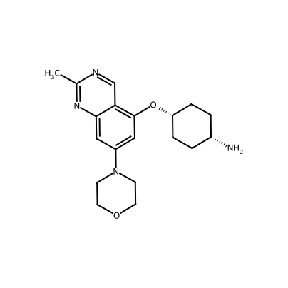 Cc1ncc2c(O[C@H]3CC[C@@H](N)CC3)cc(N3CCOCC3)cc2n1